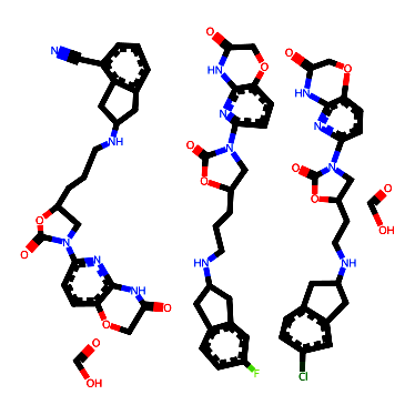 N#Cc1cccc2c1CC(NCCCC1CN(c3ccc4c(n3)NC(=O)CO4)C(=O)O1)C2.O=C1COc2ccc(N3CC(CCCNC4Cc5ccc(F)cc5C4)OC3=O)nc2N1.O=C1COc2ccc(N3CC(CCNC4Cc5ccc(Cl)cc5C4)OC3=O)nc2N1.O=CO.O=CO